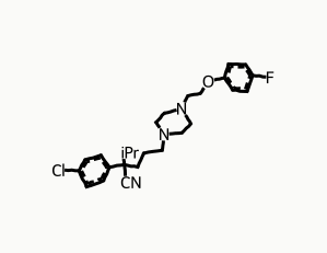 CC(C)C(C#N)(CCCN1CCN(CCOc2ccc(F)cc2)CC1)c1ccc(Cl)cc1